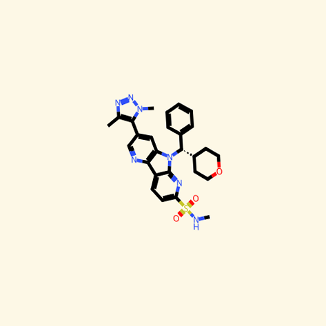 CNS(=O)(=O)c1ccc2c3ncc(-c4c(C)nnn4C)cc3n([C@H](c3ccccc3)C3CCOCC3)c2n1